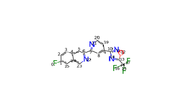 Fc1ccc2cc(-c3cc(-c4noc(C(F)(F)F)n4)ccn3)ncc2c1